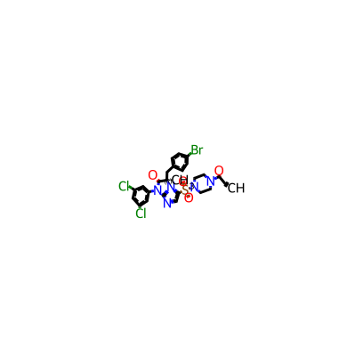 C#CC(=O)N1CCN(S(=O)(=O)c2cnc3n2[C@](C)(Cc2ccc(Br)cc2)C(=O)N3c2cc(Cl)cc(Cl)c2)CC1